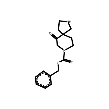 O=C(OCc1ccccc1)N1CCC2(CCNC2)C(=O)C1